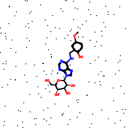 COc1ccc(O)c(CNc2ncnc3c2ncn3C2O[C@H](CO)[C@@H](O)[C@H](O)[C@H]2O)c1